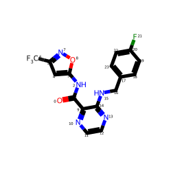 O=C(Nc1cc(C(F)(F)F)no1)c1nccnc1NCc1ccc(F)cc1